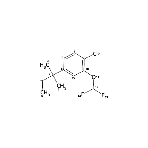 CCC(C)(C)c1ccc(Cl)c(OC(F)F)c1